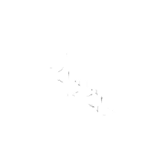 CCc1cc(NC(=O)c2cnc(C(F)(F)F)cn2)ccc1F